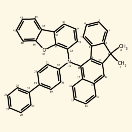 CC1(C)c2ccccc2-c2c1cc1ccccc1c2N(c1ccc(-c2ccccc2)cc1)c1cccc2c1oc1ccccc12